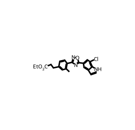 CCOC(=O)CCc1ccc(-c2noc(-c3cc(Cl)c4[nH]ccc4c3)n2)c(C)c1